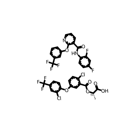 C[C@H](OC(=O)c1cc(Oc2ccc(C(F)(F)F)cc2Cl)ccc1Cl)C(=O)O.O=C(Nc1ccc(F)cc1F)c1cccnc1Oc1cccc(C(F)(F)F)c1